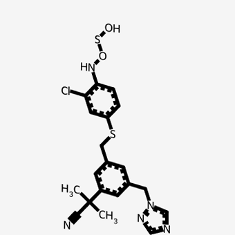 CC(C)(C#N)c1cc(CSc2ccc(NOSO)c(Cl)c2)cc(Cn2cncn2)c1